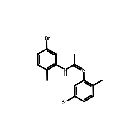 CC(=Nc1cc(Br)ccc1C)Nc1cc(Br)ccc1C